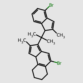 CC1=CC2C(=C1C(C)(C)C1C(C)=Cc3c(Br)cccc31)C=C(Br)C1=C2CCCC1